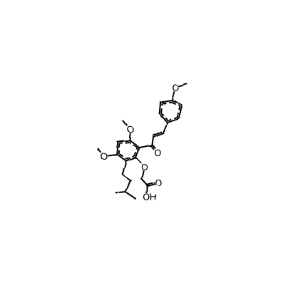 COc1ccc(C=CC(=O)c2c(OC)cc(OC)c(CCC(C)C)c2OCC(=O)O)cc1